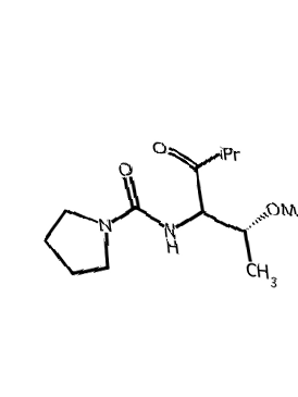 CO[C@H](C)C(NC(=O)N1CCCC1)C(=O)C(C)C